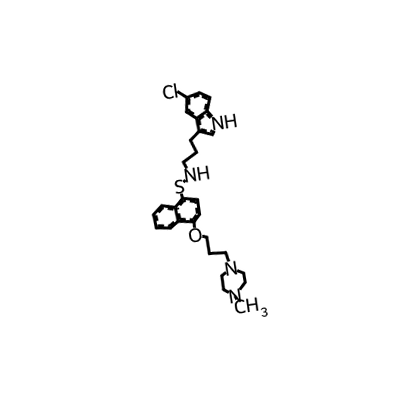 CN1CCN(CCCOc2ccc(SNCCCc3c[nH]c4ccc(Cl)cc34)c3ccccc23)CC1